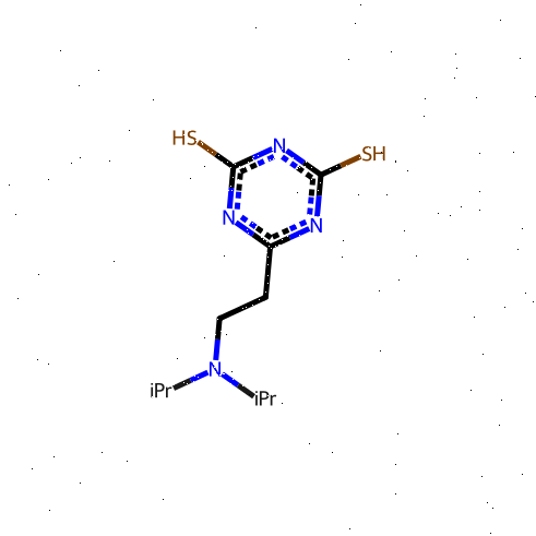 CC(C)N(CCc1nc(S)nc(S)n1)C(C)C